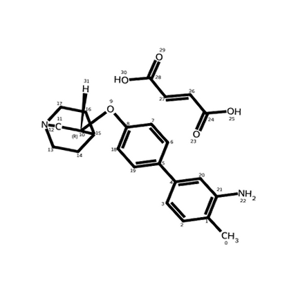 Cc1ccc(-c2ccc(O[C@H]3CN4CCC3CC4)cc2)cc1N.O=C(O)C=CC(=O)O